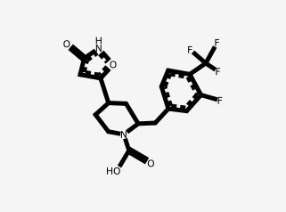 O=C(O)N1CCC(c2cc(=O)[nH]o2)CC1Cc1ccc(C(F)(F)F)c(F)c1